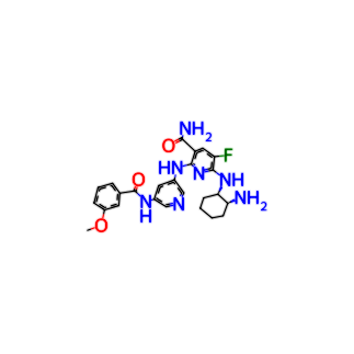 COc1cccc(C(=O)Nc2cncc(Nc3nc(N[C@@H]4CCCC[C@@H]4N)c(F)cc3C(N)=O)c2)c1